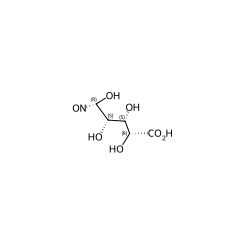 O=N[C@H](O)[C@@H](O)[C@H](O)[C@@H](O)C(=O)O